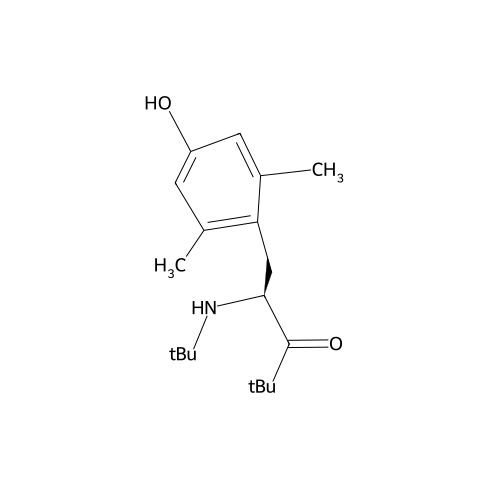 Cc1cc(O)cc(C)c1C[C@H](NC(C)(C)C)C(=O)C(C)(C)C